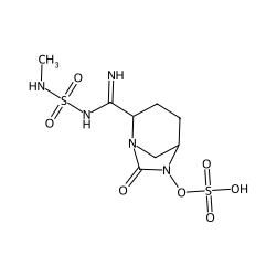 CNS(=O)(=O)NC(=N)C1CCC2CN1C(=O)N2OS(=O)(=O)O